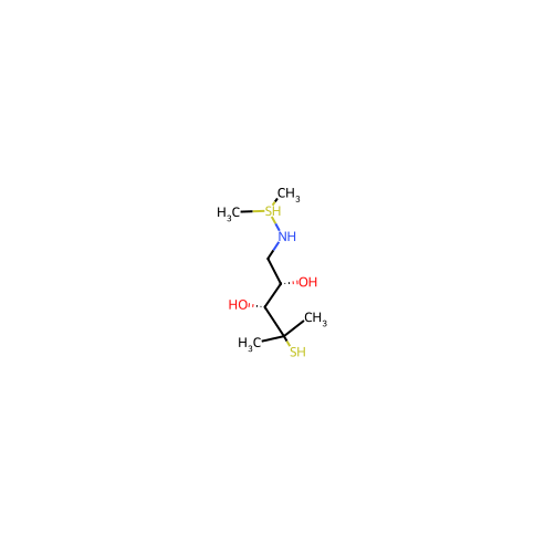 C[SH](C)NC[C@H](O)[C@@H](O)C(C)(C)S